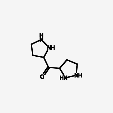 O=C(C1CCNN1)C1CCNN1